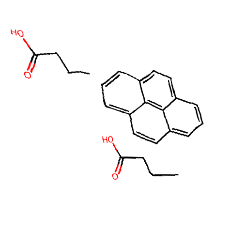 CCCC(=O)O.CCCC(=O)O.c1cc2ccc3cccc4ccc(c1)c2c34